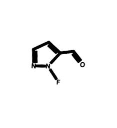 O=Cc1ccnn1F